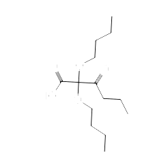 CCCCOC(OCCCC)(C(=O)O)C(=O)CCC